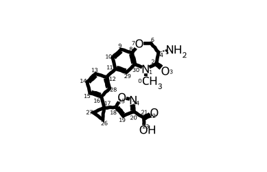 CN1C(=O)[C@@H](N)COc2ccc(-c3cccc(C4(c5cc(C(=O)O)no5)CC4)c3)cc21